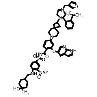 CC(C)c1ccccc1C1CN(Cc2ccoc2)CCN1C1CC2(CCN(c3ccc(C(=O)NS(=O)(=O)c4ccc(NCC5CCC(C)(O)CC5)c([N+](=O)[O-])c4)c(Oc4cnc5[nH]ccc5c4)c3)CC2)C1